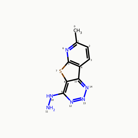 Cc1ccc2c(n1)sc1c(NN)nnnc12